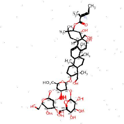 C/C=C(\C)C(=O)OC1[C@H](O)C2(CO)[C@H](O)C[C@]3(C)C(=CCC4[C@@]5(C)CC[C@H](O[C@@H]6O[C@H](C(=O)O)[C@@H](O[C@@H]7O[C@H](CO)[C@@H](O)[C@H](O)[C@H]7O)[C@H](O)[C@H]6O[C@@H]6O[C@H](CO)[C@@H](O)[C@H](O)[C@H]6O)[C@](C)(CO)C5CC[C@]43C)[C@@H]2CC1(C)C